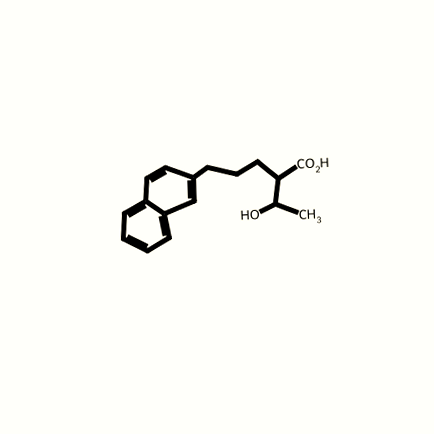 CC(O)C(CCCc1ccc2ccccc2c1)C(=O)O